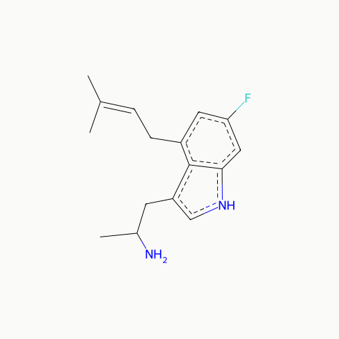 CC(C)=CCc1cc(F)cc2[nH]cc(CC(C)N)c12